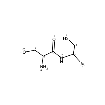 CC(=O)C(CS)NC(=O)C(N)CO